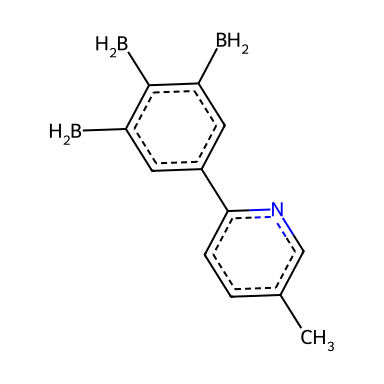 Bc1cc(-c2ccc(C)cn2)cc(B)c1B